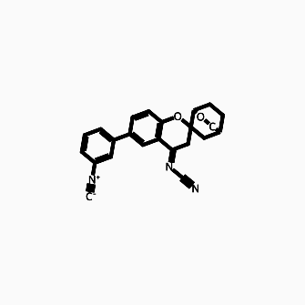 [C-]#[N+]c1cccc(-c2ccc3c(c2)/C(=N/C#N)CC2(CC4CCC2OC4)O3)c1